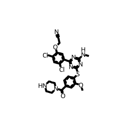 CNc1nc(Sc2ccc(C(=O)N3CCNCC3)cc2OC)nc(-c2cc(OCC#N)c(Cl)cc2Cl)n1